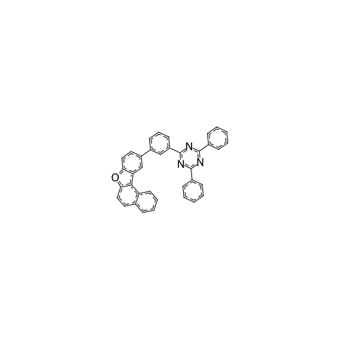 c1ccc(-c2nc(-c3ccccc3)nc(-c3cccc(-c4ccc5oc6ccc7ccccc7c6c5c4)c3)n2)cc1